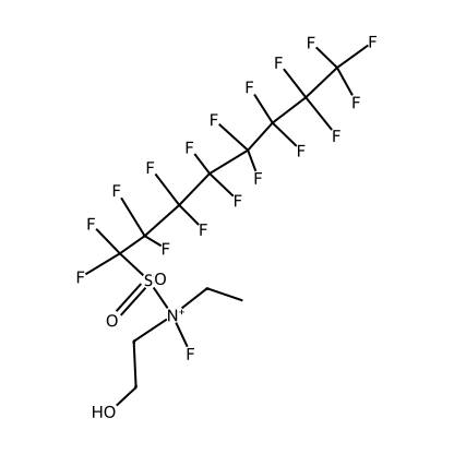 CC[N+](F)(CCO)S(=O)(=O)C(F)(F)C(F)(F)C(F)(F)C(F)(F)C(F)(F)C(F)(F)C(F)(F)C(F)(F)F